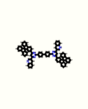 C1=CC2c3ccc(-c4cc(-c5cnc6ccccc6c5)nc(-c5ccc(-c6ccc(-c7nc(-c8ccc9c(c8)C8(c%10ccccc%10-c%10ccccc%108)c8ccccc8-9)cc(-c8cnc9ccccc9c8)n7)cc6)cc5)n4)cc3C3(c4ccccc4-c4ccccc43)C2C=C1